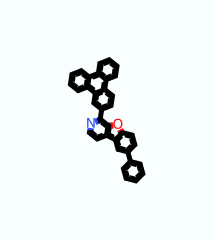 c1ccc(-c2ccc3oc4c(-c5ccc6c7ccccc7c7ccccc7c6c5)nccc4c3c2)cc1